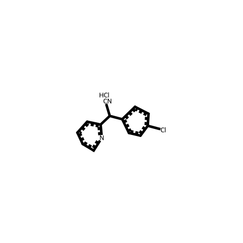 Cl.N#CC(c1ccc(Cl)cc1)c1ccccn1